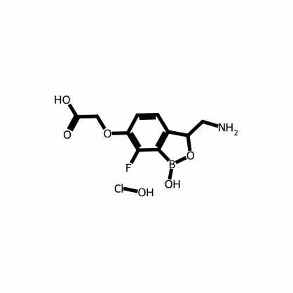 NCC1OB(O)c2c1ccc(OCC(=O)O)c2F.OCl